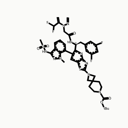 C=NN(CC(=O)N[C@@H](Cc1cc(F)cc(F)c1)c1nc2nc(N3CC4(CCN(C(=O)OC(C)(C)C)CC4)C3)sc2cc1-c1cccc2c(NS(C)(=O)=O)nn(C)c12)C(=C)C(F)F